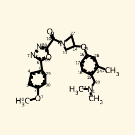 COc1ccc(-c2nnc(C(=O)N3CC(Oc4ccc(CN(C)C)c(C)c4)C3)o2)cc1